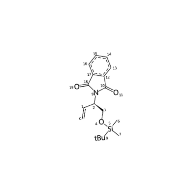 C=C[C@H](CO[Si](C)(C)C(C)(C)C)N1C(=O)c2ccccc2C1=O